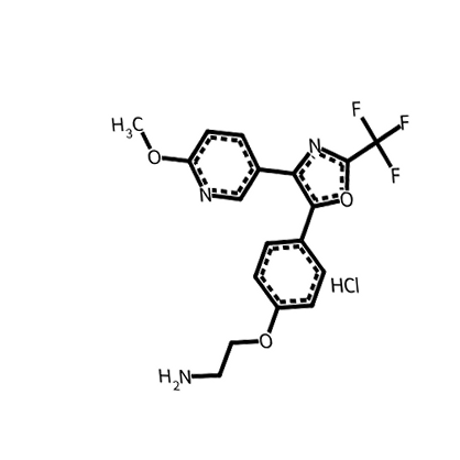 COc1ccc(-c2nc(C(F)(F)F)oc2-c2ccc(OCCN)cc2)cn1.Cl